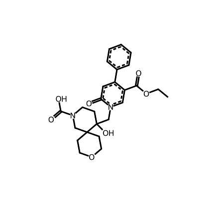 CCOC(=O)c1cn(CC2(O)CCN(C(=O)O)CC23CCOCC3)c(=O)cc1-c1ccccc1